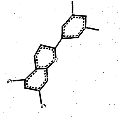 Cc1cc(C)cc(-c2ccc3c(C(C)C)cc(C(C)C)cc3n2)c1